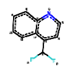 FC(F)c1ccnc2ccccc12